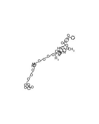 COc1cnc(-n2cnc(C(C)(C)COCCOCCOCCOCCn3cc(COCCOCCOCCC(=O)ON4C(=O)CCC4=O)nn3)n2)c2[nH]cc(C(=O)C(=O)N3CCN(C(=O)c4ccccc4)CC3)c12